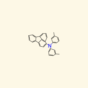 Cc1cccc(N(c2cccc(C)c2)c2ccc3c4c(cccc24)-c2ccccc2-3)c1